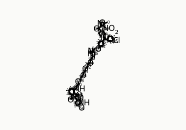 Cc1onc(C(=O)N2CCN(C(c3ccc(Cl)cc3)c3ccc(OCc4cn(CCOCCOCCOCCOCCNc5cccc6c5C(=O)N(C5CCC(=O)NC5=O)C6=O)nn4)cc3)CC2)c1[N+](=O)[O-]